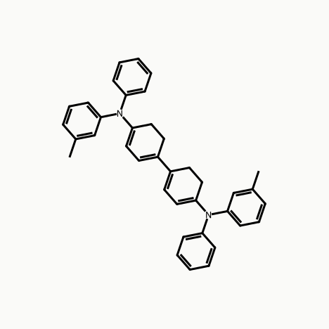 Cc1cccc(N(C2=CC=C(C3=CC=C(N(c4ccccc4)c4cccc(C)c4)CC3)CC2)c2ccccc2)c1